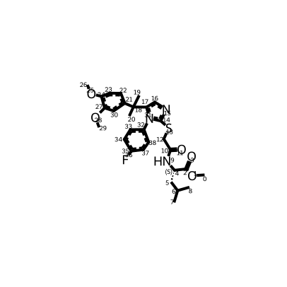 COC(=O)[C@H](CC(C)C)NC(=O)CSc1ncc(C(C)(C)c2ccc(OC)c(OC)c2)n1-c1ccc(F)cc1